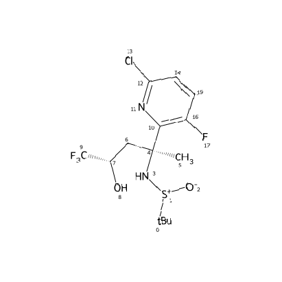 CC(C)(C)[S+]([O-])N[C@@](C)(C[C@H](O)C(F)(F)F)c1nc(Cl)ccc1F